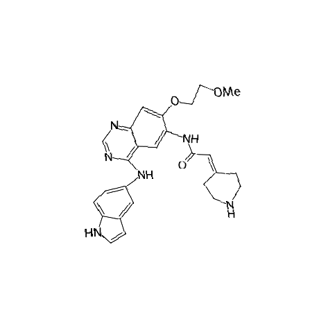 COCCOc1cc2ncnc(Nc3ccc4[nH]ccc4c3)c2cc1NC(=O)C=C1CCNCC1